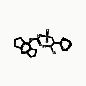 CCN(C(C)C)C(CS(=O)(=O)NC(=O)Nc1c2c(cc3c1CCC3)CCC2)c1ccccc1